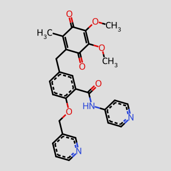 COC1=C(OC)C(=O)C(Cc2ccc(OCc3cccnc3)c(C(=O)Nc3ccncc3)c2)=C(C)C1=O